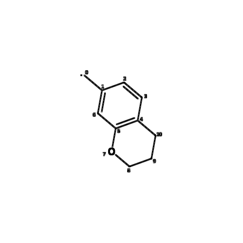 [CH2]c1ccc2c(c1)OCCC2